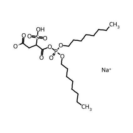 CCCCCCCCOP(=O)(OCCCCCCCC)OC(=O)C(CC(=O)[O-])S(=O)(=O)O.[Na+]